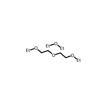 CCOCC.CCOCCOCCOCC